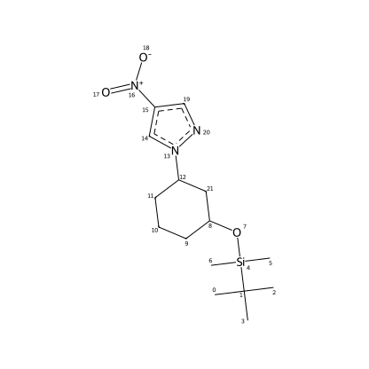 CC(C)(C)[Si](C)(C)OC1CCCC(n2cc([N+](=O)[O-])cn2)C1